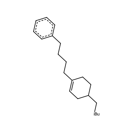 CCC(C)CC1CC=C(CCCCc2ccccc2)CC1